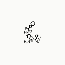 Cc1ccncc1-c1cc2cc(NC(=O)C(F)=C3CC4(CCSCC4)C3)ncc2c(N)n1